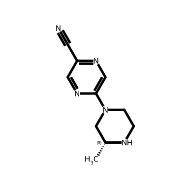 C[C@@H]1CN(c2cnc(C#N)cn2)CCN1